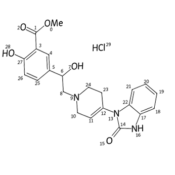 COC(=O)c1cc(C(O)CN2CC=C(n3c(=O)[nH]c4ccccc43)CC2)ccc1O.Cl